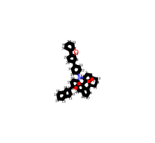 c1ccc(N(c2ccc(-c3ccc4ccccc4c3)cc2)c2ccc(-c3ccc4c(c3)oc3ccccc34)cc2)c(-c2cccc3cccc(C4CCCCC4)c23)c1